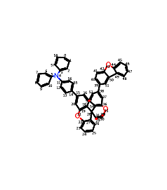 c1ccc(N(c2ccccc2)c2ccc(-c3ccc4c(c3)Oc3ccccc3C43c4ccccc4Oc4cc(-c5ccc6oc7ccccc7c6c5)ccc43)cc2)cc1